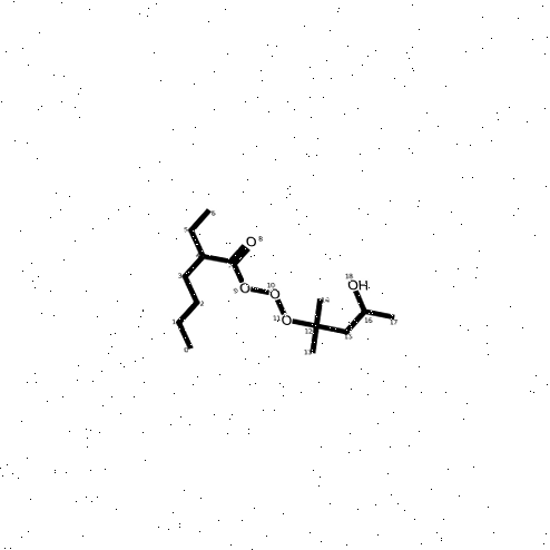 CCCCC(CC)C(=O)OOOC(C)(C)CC(C)O